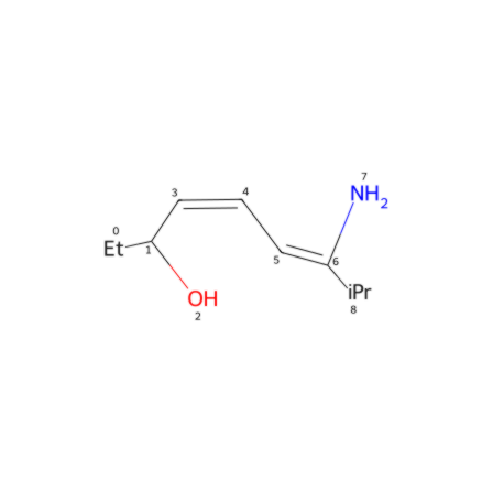 CCC(O)/C=C\C=C(/N)C(C)C